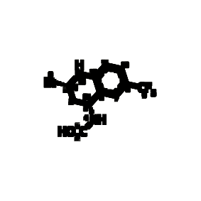 CC[C@H]1C[C@@H](NC(=O)O)c2cc(C(F)(F)F)ccc2N1